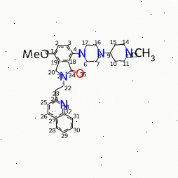 COc1ccc(N2CCN(C3CCN(C)CC3)CC2)c2c1CN(CCc1ccc3ccccc3n1)C2=O